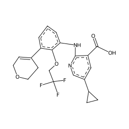 O=C(O)c1cc(C2CC2)cnc1Nc1cccc(C2=CCOCC2)c1OCC(F)(F)F